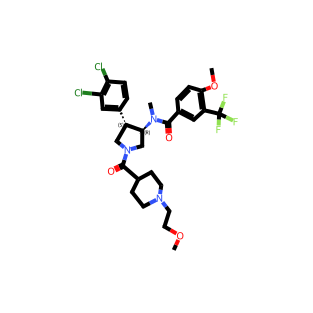 COCCN1CCC(C(=O)N2C[C@H](c3ccc(Cl)c(Cl)c3)[C@@H](N(C)C(=O)c3ccc(OC)c(C(F)(F)F)c3)C2)CC1